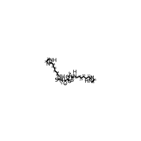 CN(OC(=O)C(=O)ON(C)C(=S)NCCCCCCc1ncc[nH]1)C(=S)NCCCCCCc1ncc[nH]1